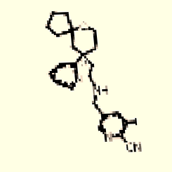 N#Cc1ncc(CNCC[C@]2(c3ccccn3)CCOC3(CCCC3)C2)cc1F